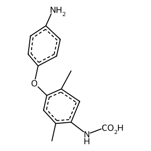 Cc1cc(Oc2ccc(N)cc2)c(C)cc1NC(=O)O